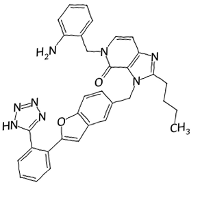 CCCCc1nc2ccn(Cc3ccccc3N)c(=O)c2n1Cc1ccc2oc(-c3ccccc3-c3nnn[nH]3)cc2c1